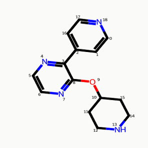 c1cc(-c2nccnc2OC2CCNCC2)ccn1